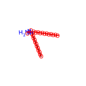 COCCOCCOCCOCCOCCOCCOCCOCCOCCOCCOCCOCCN(CCOCCOCCOCCOCCOCCOCCOCCOCCOCCOCCOCCOC)C(=O)c1cnc(C(N)=O)cn1